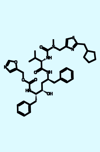 CC(C)[C@H](NC(=O)N(C)Cc1csc(CC2CCCC2)n1)C(=O)N[C@@H](Cc1ccccc1)C[C@H](O)[C@H](Cc1ccccc1)NC(=O)OCc1cnco1